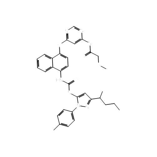 CCCC(I)c1cc(NC(=O)Nc2ccc(Oc3cc(NC(=O)COC)ncn3)c3ccccc23)n(-c2ccc(C)cc2)n1